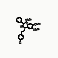 CNC(=O)C(N[C@H](CCc1ccc(Cl)cc1)c1ccc(OC)c(OC)c1)c1ccccc1